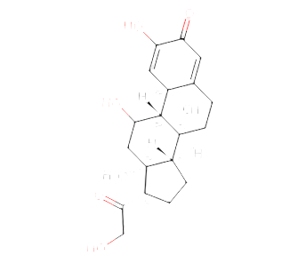 C[C@]12CC(O)[C@H]3[C@@H](CCC4=CC(=O)C(O)=C[C@@]43C)[C@@H]1CC[C@@H]2C(=O)CO